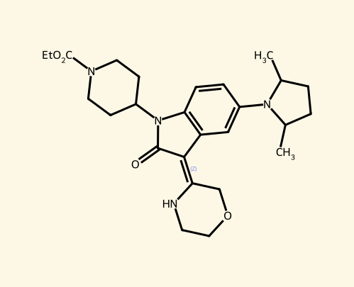 CCOC(=O)N1CCC(N2C(=O)/C(=C3/COCCN3)c3cc(N4C(C)CCC4C)ccc32)CC1